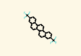 FC(F)(F)c1ccc2c(ccc3c2ccc2c4ccc(C(F)(F)F)cc4ccc23)c1